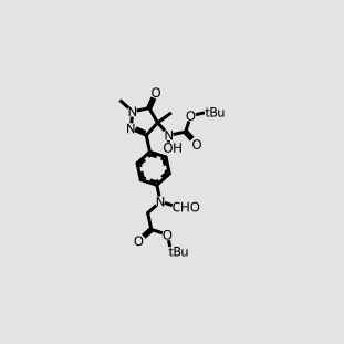 CN1N=C(c2ccc(N(C=O)CC(=O)OC(C)(C)C)cc2)C(C)(N(O)C(=O)OC(C)(C)C)C1=O